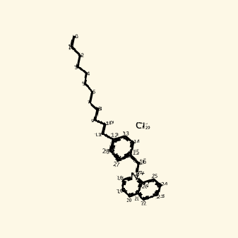 CCCCCCCCCCCCc1ccc(C[n+]2cccc3ccccc32)cc1.[Cl-]